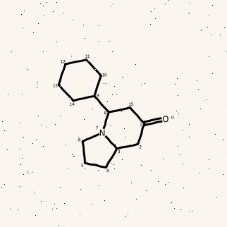 O=C1CC2CCCN2C(C2CCCCC2)C1